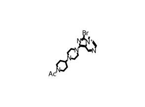 CC(=O)N1CCC(N2CCN(C3=C4C=NC=C[N+]4(C)C(Br)=N3)CC2)CC1